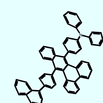 c1ccc(N(c2ccccc2)c2ccc(-c3c4ccccc4c(-c4ccc(-c5cccc6ccccc56)cc4)c4c5ccccc5c5ccccc5c34)cc2)cc1